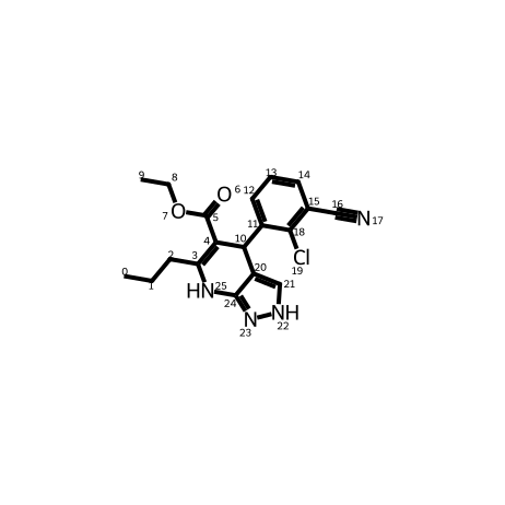 CCCC1=C(C(=O)OCC)C(c2cccc(C#N)c2Cl)c2c[nH]nc2N1